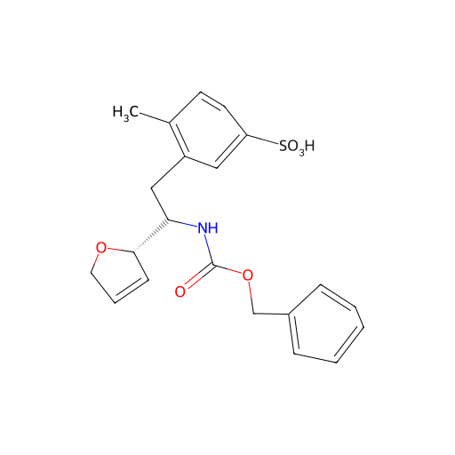 Cc1ccc(S(=O)(=O)O)cc1CC(NC(=O)OCc1ccccc1)[C@@H]1C=CCO1